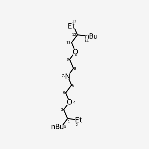 CCCCC(CC)COCC[N]CCOCC(CC)CCCC